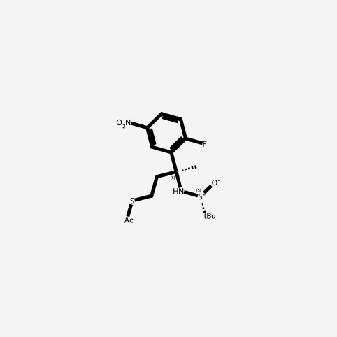 CC(=O)SCC[C@](C)(N[S@+]([O-])C(C)(C)C)c1cc([N+](=O)[O-])ccc1F